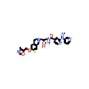 Cc1ncoc1COc1cc2c(cc1F)CN(CC(O)CNC(=O)c1ccnc(Nc3cccnc3)c1)CC2